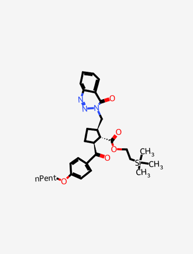 CCCCCOc1ccc(C(=O)[C@H]2CC[C@@H](Cn3nnc4ccccc4c3=O)[C@@H]2C(=O)OCC[Si](C)(C)C)cc1